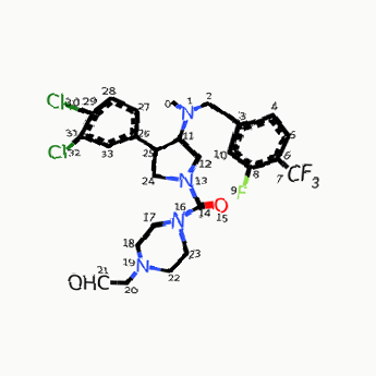 CN(Cc1ccc(C(F)(F)F)c(F)c1)C1CN(C(=O)N2CCN(CC=O)CC2)CC1c1ccc(Cl)c(Cl)c1